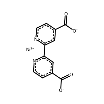 O=C([O-])c1ccnc(-c2cc(C(=O)[O-])ccn2)c1.[Ni+2]